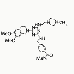 CNC(=O)c1ccc(CNc2nc(NCCN3CCN(C)CC3)nc(N3CCc4cc(OC)c(OC)cc4C3)n2)cc1